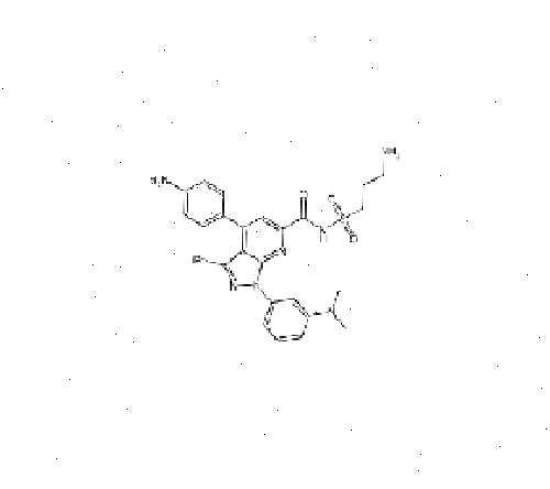 CC(C)c1nn(-c2cccc(N(C)C)c2)c2nc(C(=O)NS(=O)(=O)CCCN)cc(-c3ccc(N)cc3)c12